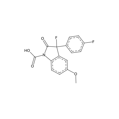 COc1ccc2c(c1)C(F)(c1ccc(F)cc1)C(=O)N2C(=O)O